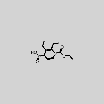 CCOC(=O)N1C=CC([PH](=O)O)C(CC)=C1CC